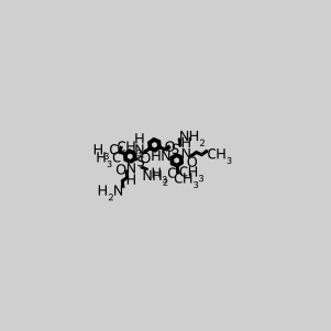 CCCCC(=O)Nc1cc(C(C)(C)C)cc(NC(=O)c2cccc(C(=O)Nc3cc(C(C)(C)C)cc(NC(=O)CCCN)c3SCCN)c2)c1SCCN